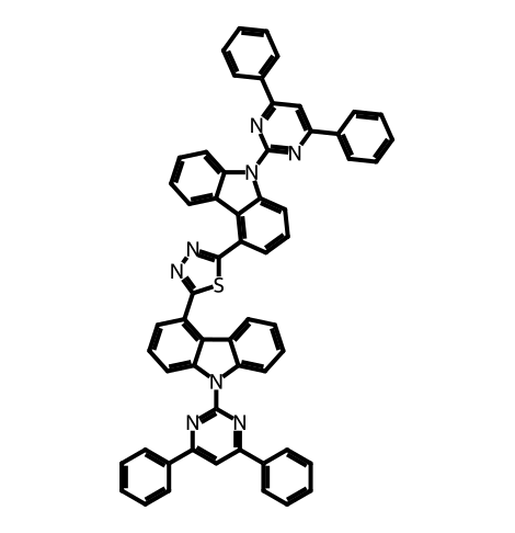 c1ccc(-c2cc(-c3ccccc3)nc(-n3c4ccccc4c4c(-c5nnc(-c6cccc7c6c6ccccc6n7-c6nc(-c7ccccc7)cc(-c7ccccc7)n6)s5)cccc43)n2)cc1